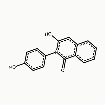 O=c1c2ccccc2cc(O)n1-c1ccc(O)cc1